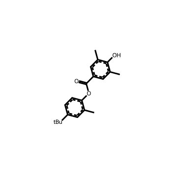 Cc1cc(C(C)(C)C)ccc1OC(=O)c1cc(C)c(O)c(C)c1